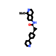 COc1nccc2cc(NC(=O)[C@@H]3C[C@H]3c3ccc(-c4cccnc4)cc3)ccc12